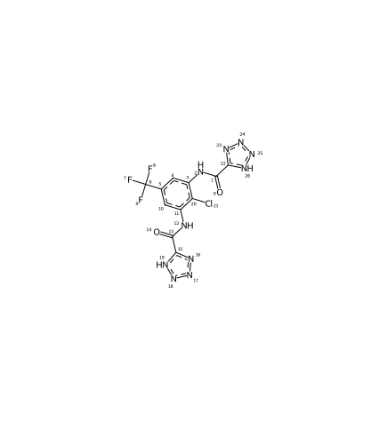 O=C(Nc1cc(C(F)(F)F)cc(NC(=O)c2nnn[nH]2)c1Cl)c1nnn[nH]1